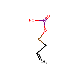 C=CCSO[PH](=O)O